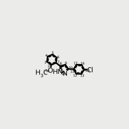 COc1ccccc1-c1cc(-c2ccc(Cl)cc2)n[nH]1